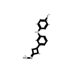 ON=C1CC(c2cccc(Oc3ccc(F)cc3)c2)C1